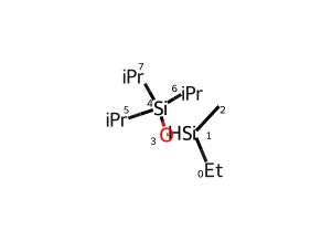 CC[SiH](C)O[Si](C(C)C)(C(C)C)C(C)C